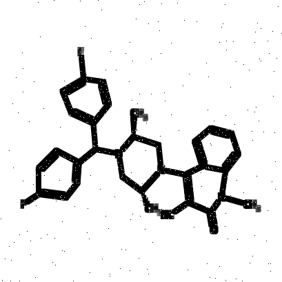 C[C@@H]1CN(C(c2ccc(F)cc2)c2ccc(F)cc2)[C@@H](C)CN1c1c(C#N)c(=O)n(C)c2ccccc12